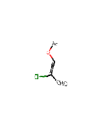 CC(=O)O/C=C(\Cl)C=O